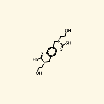 OCCN(Cc1ccc(CN(CCO)C(=S)S)cc1)C(=S)S